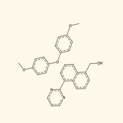 COc1ccc(Oc2ccc(OC)cc2)cc1.OCc1cccc2c(-c3ncccn3)cccc12